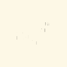 O.O.[AlH3].[Co].[LiH].[Ni]